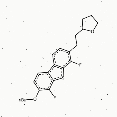 CCCCOc1ccc2c(sc3c(F)c(CCC4CCCO4)ccc32)c1F